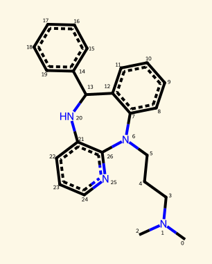 CN(C)CCCN1c2ccccc2C(c2ccccc2)Nc2cccnc21